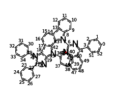 c1ccc(-c2nc(-n3c4ccccc4c4ccc5c6c(nc(-c7ccccc7)n6-c6ccccc6)n(-c6ccccc6)c5c43)nc3ccccc23)cc1